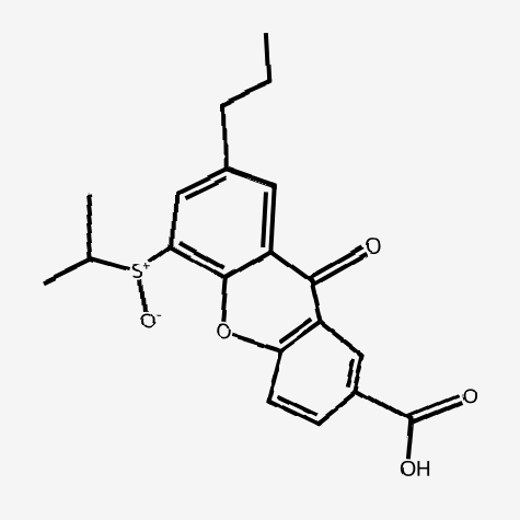 CCCc1cc([S+]([O-])C(C)C)c2oc3ccc(C(=O)O)cc3c(=O)c2c1